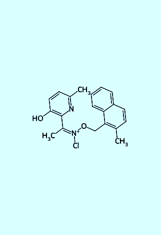 CC(c1nc(C)ccc1O)=[N+](Cl)OCc1c(C)ccc2ccccc12